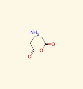 N.O=C1CCCC(=O)O1